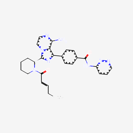 COC/C=C/C(=O)N1CCCC[C@H]1c1nc(-c2ccc(C(=O)Nc3cccnn3)cc2)c2c(N)nccn12